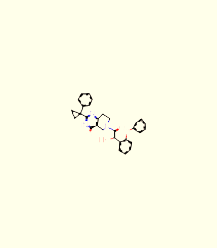 O=C(C(O)c1ccccc1Oc1ccccc1)N1CCc2nc(C3(c4ccccc4)CC3)[nH]c(=O)c2C1